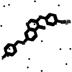 CCOC(=O)c1ccc(Oc2coc3cc(OCc4ccc(F)cc4)ccc3c2=O)cc1